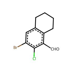 O=Cc1c(Cl)c(Br)cc2c1CCCC2